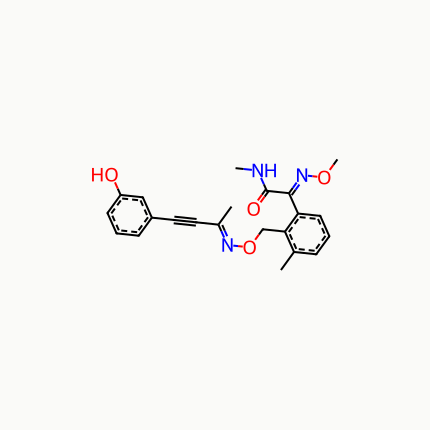 CNC(=O)/C(=N/OC)c1cccc(C)c1CO/N=C(\C)C#Cc1cccc(O)c1